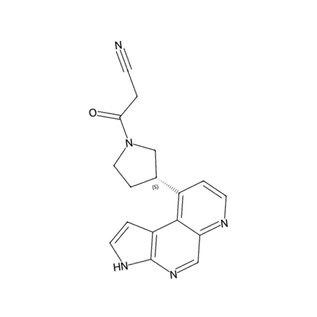 N#CCC(=O)N1CC[C@@H](c2ccnc3cnc4[nH]ccc4c23)C1